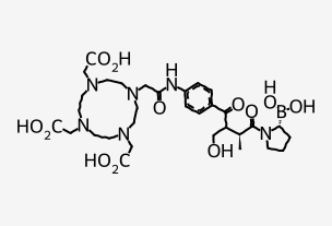 C[C@H](C(=O)N1CCC[C@H]1B(O)O)C(CO)C(=O)c1ccc(NC(=O)CN2CCN(CC(=O)O)CCN(CC(=O)O)CCN(CC(=O)O)CC2)cc1